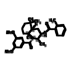 COc1cc(OC)cc(C(=O)[C@H]2[C@H](C)[C@H](NC(=O)c3ccccc3C)C[C@H]3C(C)(C)CCC[C@]23C)c1